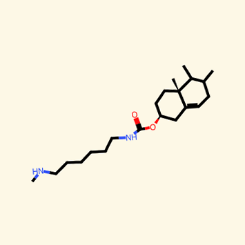 CNCCCCCCNC(=O)O[C@H]1CC[C@@]2(C)C(=CCC(C)C2C)C1